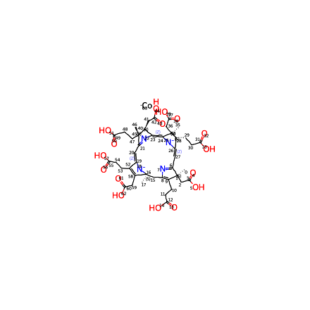 C[C@@]1(CC(=O)O)C2=NC(=C1CCC(=O)O)C[C@]1(C)[N-]/C(=C\C3=NC(=C4\[N-]/C(=C\2)[C@@H](CCC(=O)O)[C@]4(C)CC(=O)O)/[C@H](CC(=O)O)[C@@]3(C)CCC(=O)O)C(CCC(=O)O)=C1CC(=O)O.[Co]